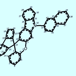 c1ccc2c(c1)Oc1cc3c(cc1C21c2ccccc2-c2ccccc21)c1ccccc1n3-c1ccc2ccccc2c1